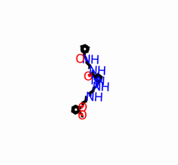 COc1ccccc1OCCCNCCCNc1nccc(C(=O)NCCCNC(=O)c2ccccc2)n1